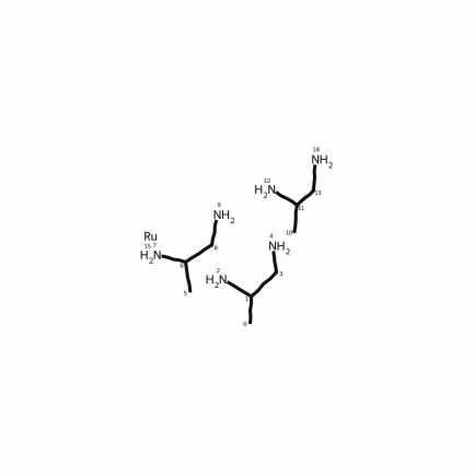 CC(N)CN.CC(N)CN.CC(N)CN.[Ru]